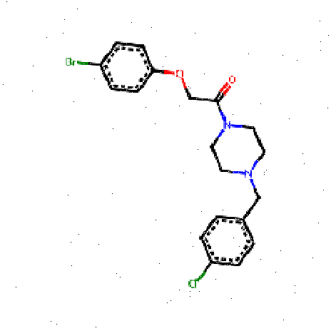 O=C(COc1ccc(Br)cc1)N1CCN(Cc2ccc(Cl)cc2)CC1